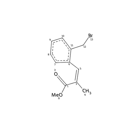 COC(=O)C(C)=Cc1ccccc1CBr